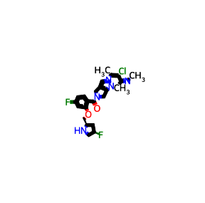 C/N=C(C)\C(Cl)=C(\C)n1cc2c(n1)CN(C(=O)c1ccc(F)cc1OC[C@H]1C[C@@H](F)CN1)C2